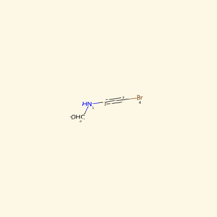 O=[C]NC#CBr